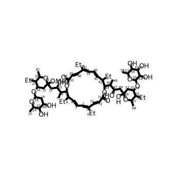 CCC1=C\C=C\C(CC)C(C(C)C(O)CC2(OC)CC(OC3CC(O)C(O)C(C)O3)C(CC)C(C)O2)OC(=O)/C=C/C(CC)=C/C=C/C(CC)C(C(C)C(O)CC2(O)CC(OC3OC(C)C(O)C(O)C3O)C(CC)C(C)O2)OC(=O)\C=C\1